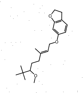 COC(CC/C(C)=C/COc1ccc2c(c1)OCC2)C(C)(C)C